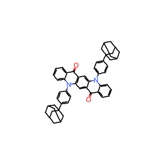 O=c1c2ccccc2n(-c2ccc(C34CC5CC(CC(C5)C3)C4)cc2)c2cc3c(=O)c4ccccc4n(-c4ccc(C56CC7CC(CC(C7)C5)C6)cc4)c3cc12